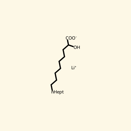 CCCCCCCCCCCCCCC(O)C(=O)[O-].[Li+]